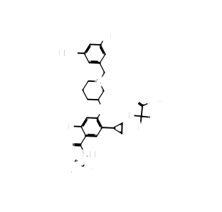 Cc1cc(C)cc(CN2CCCC(Oc3cc(F)c(C(=O)NS(C)(=O)=O)cc3C3CC3)C2)c1.O=C(O)C(F)(F)F